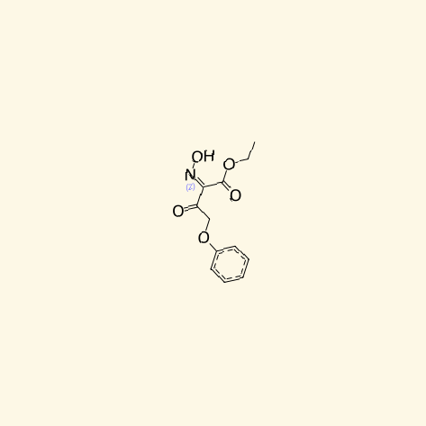 CCOC(=O)/C(=N\O)C(=O)COc1ccccc1